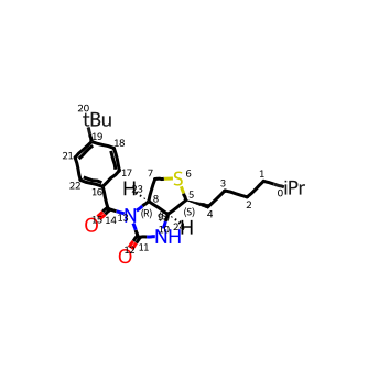 CC(C)CCCC[C@@H]1SC[C@H]2[C@@H]1NC(=O)N2C(=O)c1ccc(C(C)(C)C)cc1